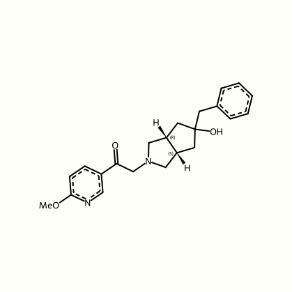 COc1ccc(C(=O)CN2C[C@@H]3CC(O)(Cc4ccccc4)C[C@@H]3C2)cn1